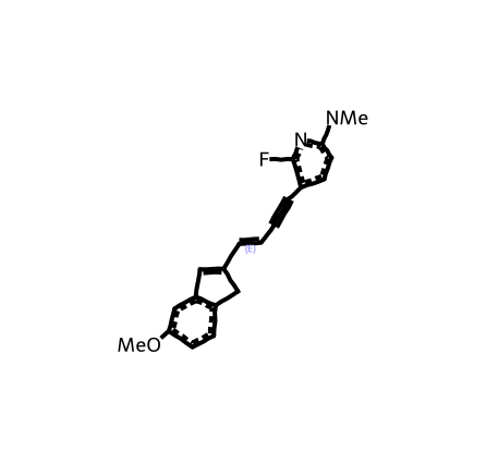 CNc1ccc(C#C/C=C/C2=Cc3cc(OC)ccc3C2)c(F)n1